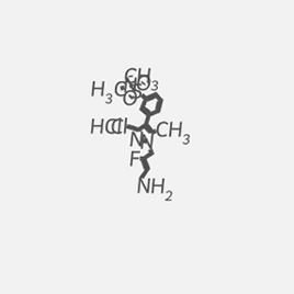 Cc1c(-c2cccc(S(=O)(=O)N(C)C)c2)c(Cl)nn1CC(F)=CCN.Cl